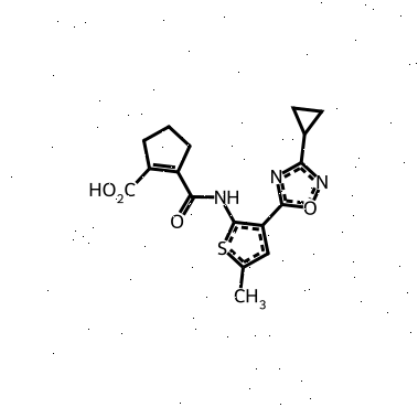 Cc1cc(-c2nc(C3CC3)no2)c(NC(=O)C2=C(C(=O)O)CCC2)s1